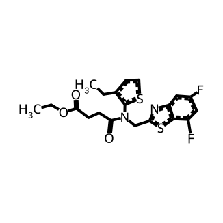 CCOC(=O)CCC(=O)N(Cc1nc2cc(F)cc(F)c2s1)c1sccc1CC